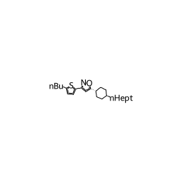 CCCCCCC[C@H]1CC[C@H](c2cc(-c3ccc(CCCC)s3)no2)CC1